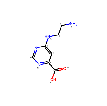 NCCNc1cc(C(=O)O)ncn1